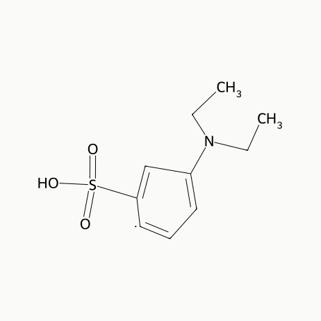 CCN(CC)c1cc[c]c(S(=O)(=O)O)c1